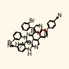 N#Cc1ccc(Nc2ncc(-c3ccccc3Br)c(C(=NN(C(N)=O)c3cccc(Br)c3)c3nc(Nc4ccc(C#N)cc4)ncc3-c3ccccc3Br)n2)cc1